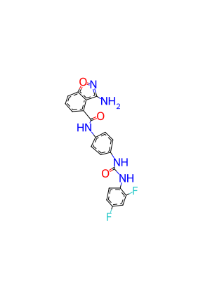 Nc1noc2cccc(C(=O)Nc3ccc(NC(=O)Nc4ccc(F)cc4F)cc3)c12